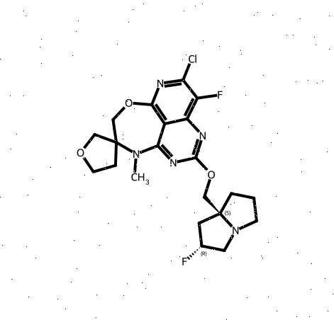 CN1c2nc(OC[C@@]34CCCN3C[C@H](F)C4)nc3c(F)c(Cl)nc(c23)OCC12CCOC2